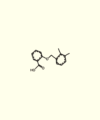 Cc1cccc(COc2ccccc2C(=O)O)c1C